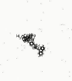 CCOC(=O)C(C)(C)NC(=O)[C@H](Cc1ccc(NC(=O)OCC2c3ccccc3-c3ccccc32)cc1)NC(=O)OC(C)(C)C